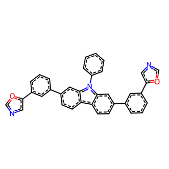 c1ccc(-n2c3cc(-c4cccc(-c5cnco5)c4)ccc3c3ccc(-c4cccc(-c5cnco5)c4)cc32)cc1